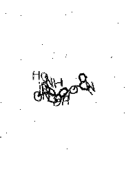 CCC(C)C(=O)N1CCS(O)(O)C(CC(=O)NO)(c2ccc(OCc3cc(C)nc4ccccc34)cc2)C1